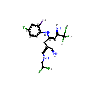 N=C/C(=C\NCC(F)F)C/C(=C/C(=N)C(F)(F)F)Nc1ccc(F)cc1I